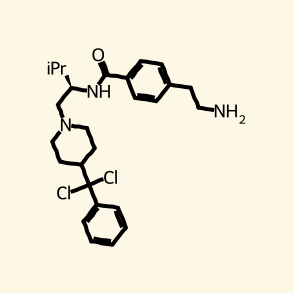 CC(C)[C@H](CN1CCC(C(Cl)(Cl)c2ccccc2)CC1)NC(=O)c1ccc(CCN)cc1